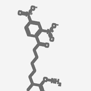 CC(CCCCCC(=O)c1ccc([N+](=O)[O-])cc1[N+](=O)[O-])C(=O)ON